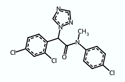 CN(C(=O)C(c1ccc(Cl)cc1Cl)n1cncn1)c1ccc(Cl)cc1